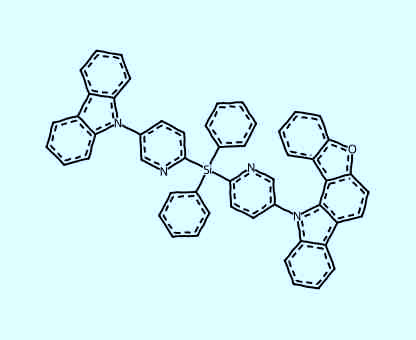 c1ccc([Si](c2ccccc2)(c2ccc(-n3c4ccccc4c4ccccc43)cn2)c2ccc(-n3c4ccccc4c4ccc5oc6ccccc6c5c43)cn2)cc1